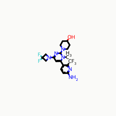 CN1C(c2ccc(N)nc2C(F)(F)F)=CC(N2CC(F)(F)C2)=NC1N1CCC(O)CC1